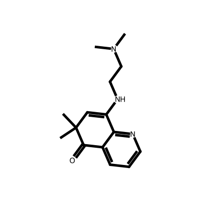 CN(C)CCNC1=CC(C)(C)C(=O)c2cccnc21